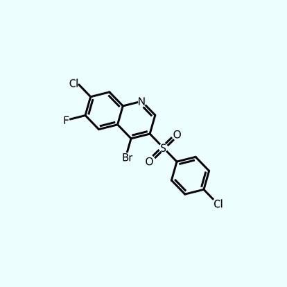 O=S(=O)(c1ccc(Cl)cc1)c1cnc2cc(Cl)c(F)cc2c1Br